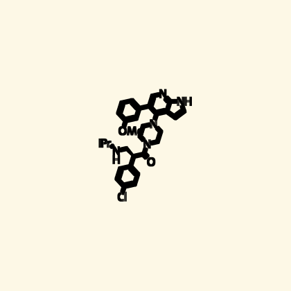 COc1cccc(-c2cnc3[nH]ccc3c2N2CCN(C(=O)[C@H](CNC(C)C)c3ccc(Cl)cc3)CC2)c1